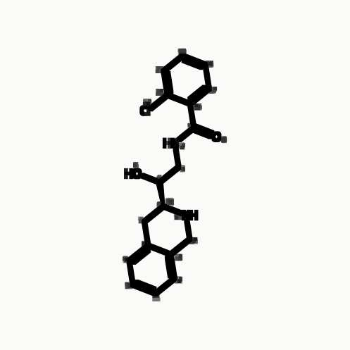 O=C(NCC(O)[C@@H]1Cc2ccccc2CN1)c1ccccc1Cl